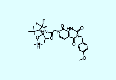 COc1ccc(Cn2c(=O)[nH]c3c(=O)n(CC(=O)NC(O[SiH](C)C)(C(C)C)C(C(C)(C)C)C(F)(F)F)ccc3c2=O)cc1